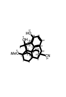 COC12CCC3(CC1C(C)(O)C(C)(C)C)C1Cc4ccc(O)c5c4C3(CCN1C#N)C2O5